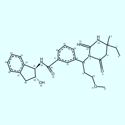 CCC1(C)CC(=O)N(C(CCOC)c2cccc(C(=O)N[C@@H]3c4ccccc4C[C@H]3O)c2)C(=N)N1